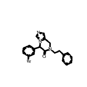 O=C1C(c2cccc(Br)c2)n2cncc2CN1CCc1ccccc1